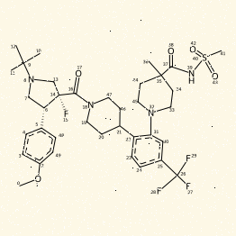 COc1ccc([C@@H]2CN(C(C)(C)C)C[C@@]2(F)C(=O)N2CCC(c3ccc(C(F)(F)F)cc3N3CCC(C)(C(=O)NS(C)(=O)=O)CC3)CC2)cc1